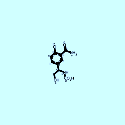 NC(=O)c1cc(C(CO)NC(=O)O)ccc1Cl